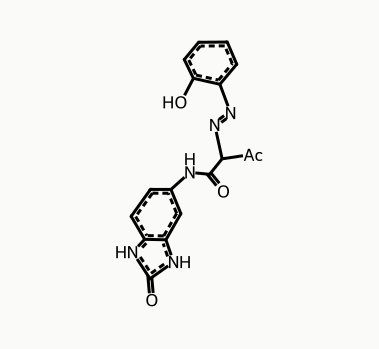 CC(=O)C(N=Nc1ccccc1O)C(=O)Nc1ccc2[nH]c(=O)[nH]c2c1